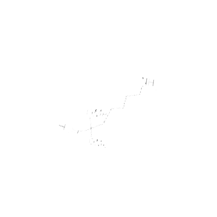 COC([SiH3])(CCCCCN)OC